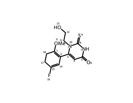 COC1=C(c2cc(=O)[nH]c(=S)n2CCO)C=C(F)CC1